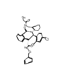 O=C(CO)N[C@H]1CCCC[C@@H]1N1C(=O)c2ccccc2[C@@H](C(=O)NOCc2ccccc2)[C@@H]1c1ccc(Cl)cc1Cl